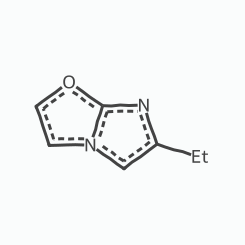 CCc1cn2ccoc2n1